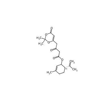 C=C(C)[C@@H]1CCC(C)=CC1OC(=O)CC(=O)CC1=CC(=O)OC(C)(C)O1